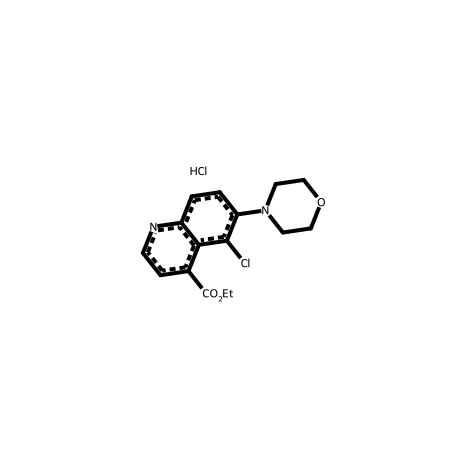 CCOC(=O)c1ccnc2ccc(N3CCOCC3)c(Cl)c12.Cl